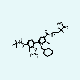 Cc1c(SNC(C)(C)C)ccc(-c2cc(C(=O)NCCC(C)(C)C(=O)O)c(C)n2CC2CCCCC2)c1OC(F)F